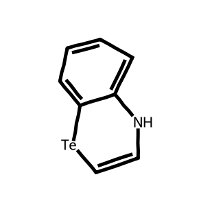 C1=C[Te]c2ccccc2N1